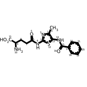 Cc1nc(NC(=O)CCC(N)C(=O)O)sc1NC(=O)c1ccccc1